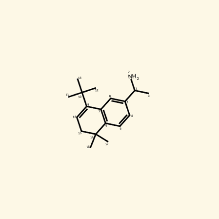 CC(N)c1ccc2c(c1)C(C(C)(C)C)=CCC2(C)C